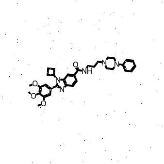 COc1cc(-c2nc3ccc(C(=O)NCCCN4CCN(c5ccccc5)CC4)cc3n2C2CCC2)cc(OC)c1OC